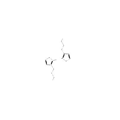 CCCCC1=[C]([V+2][C]2=C(CCCC)C=CC2)CC=C1.[Cl-].[Cl-]